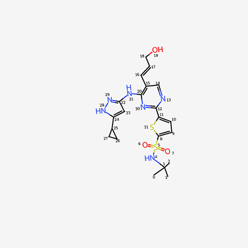 CC(C)(C)NS(=O)(=O)c1ccc(-c2ncc(/C=C/CO)c(Nc3cc(C4CC4)[nH]n3)n2)s1